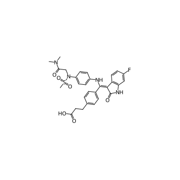 CN(C)C(=O)CN(c1ccc(NC(=C2C(=O)Nc3cc(F)ccc32)c2ccc(CCC(=O)O)cc2)cc1)S(C)(=O)=O